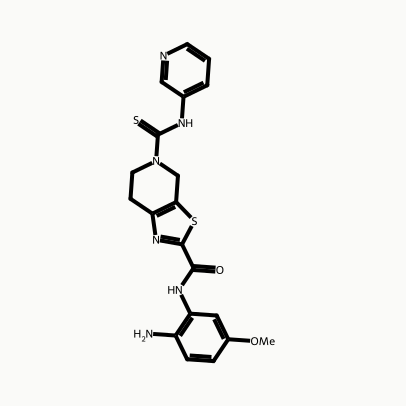 COc1ccc(N)c(NC(=O)c2nc3c(s2)CN(C(=S)Nc2cccnc2)CC3)c1